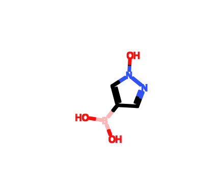 OB(O)c1cnn(O)c1